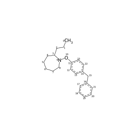 CCCC1CCCCCN1Oc1ccc(Cc2ccccc2)cc1